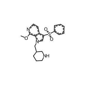 COc1nccc2c(S(=O)(=O)c3ccccc3)cn(CC3CCCNC3)c12